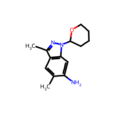 Cc1cc2c(C)nn(C3CCCCO3)c2cc1N